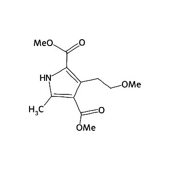 COCCc1c(C(=O)OC)[nH]c(C)c1C(=O)OC